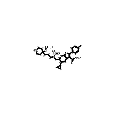 CNC(=O)c1c(-c2ccc(C)cc2)oc2nc(CN(CCCC3(OC(=O)O)CCNCC3)[SH](=O)=O)c(C3CC3)cc12